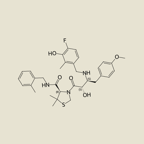 COc1ccc(C[C@H](NCc2ccc(F)c(O)c2C)[C@H](O)C(=O)N2CSC(C)(C)[C@H]2C(=O)NCc2ccccc2C)cc1